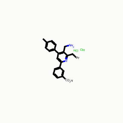 Cc1ccc(-c2cc(-c3cccc(C(=O)O)c3)nc(CC(C)C)c2CN)cc1.Cl.Cl